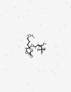 CCCCC1(OC/C=C(/F)C(F)(F)F)COC(=O)O1